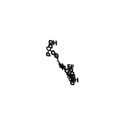 O=C1CCC(N2Cc3cc(N4CCN(CCCCCOc5ccc([C@@H]6c7ccc(O)cc7CC[C@@H]6c6ccccc6)cc5)CC4)cc(OC(F)F)c3C2=O)C(=O)N1